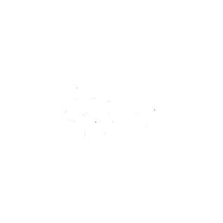 Cc1ccc(OS(=O)(=O)c2ccc(C(=O)O)c(C(=O)O)c2)c(S)c1